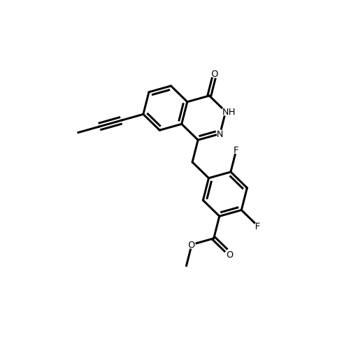 CC#Cc1ccc2c(=O)[nH]nc(Cc3cc(C(=O)OC)c(F)cc3F)c2c1